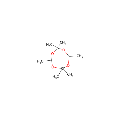 CC1O[Si](C)(C)OC(C)O[Si](C)(C)O1